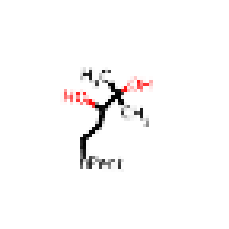 CCCCCCCC(O)C(C)(C)O